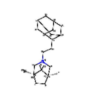 CC1(C)[C@H]2CC[C@]1(C)CN(CCC1C3CC4CC(C3)CC1C4)C2